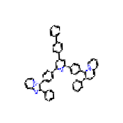 C1=CC2=CCC(c3ccccc3)=C(c3ccc(-c4cc(-c5ccc(-c6ccccc6)cc5)cc(-c5ccc(-c6c(-c7ccccc7)nc7ccccn67)cc5)n4)cc3)N2C=C1